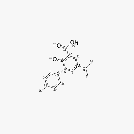 Cc1ccc(-c2cn(C(C)C)cc(C(=O)O)c2=O)cc1